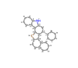 c1ccc(-c2cc3[nH]c4ccccc4c3c3sc4ccc5ccccc5c4c23)cc1